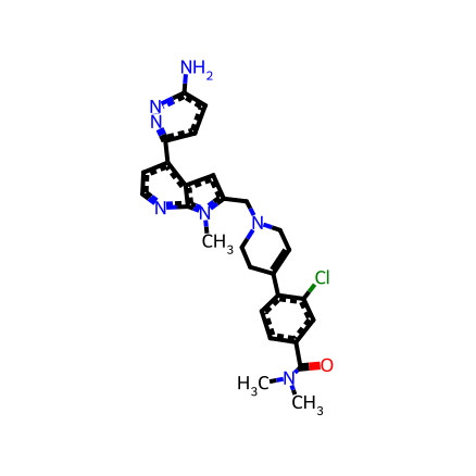 CN(C)C(=O)c1ccc(C2=CCN(Cc3cc4c(-c5ccc(N)nn5)ccnc4n3C)CC2)c(Cl)c1